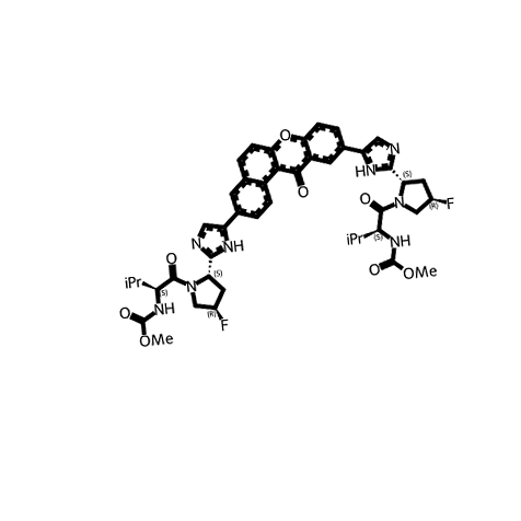 COC(=O)N[C@H](C(=O)N1C[C@H](F)C[C@H]1c1ncc(-c2ccc3c(ccc4oc5ccc(-c6cnc([C@@H]7C[C@@H](F)CN7C(=O)[C@@H](NC(=O)OC)C(C)C)[nH]6)cc5c(=O)c43)c2)[nH]1)C(C)C